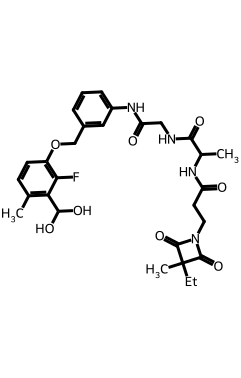 CCC1(C)C(=O)N(CCC(=O)NC(C)C(=O)NCC(=O)Nc2cccc(COc3ccc(C)c(C(O)O)c3F)c2)C1=O